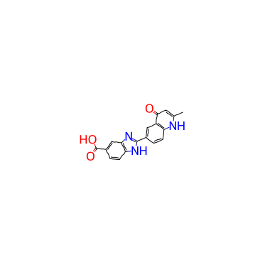 Cc1cc(=O)c2cc(-c3nc4cc(C(=O)O)ccc4[nH]3)ccc2[nH]1